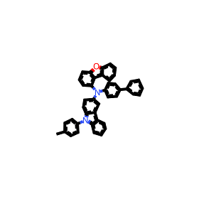 Cc1ccc(-n2c3ccccc3c3cc(N(c4ccc(-c5ccccc5)cc4)c4cccc5oc6ccccc6c45)ccc32)cc1